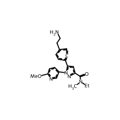 CCN(C)C(=O)c1cc(-c2ccc(CCN)cc2)n(-c2ccc(OC)nc2)n1